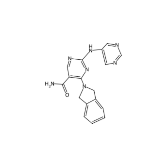 NC(=O)c1cnc(Nc2cncnc2)nc1N1Cc2ccccc2C1